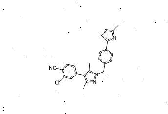 Cc1csc(-c2ccc(Cn3nc(C)c(-c4ccc(C#N)c(Cl)c4)c3C)cc2)n1